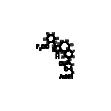 CC(=O)NCC1CN(c2ccc3c(c2)-c2[nH]nc(-c4ccccc4OC(F)(F)F)c2CCC3)C(=O)O1